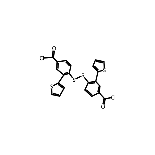 O=C(Cl)c1ccc(SSc2ccc(C(=O)Cl)cc2-c2cccs2)c(-c2cccs2)c1